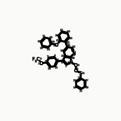 FC(F)(F)Oc1ccc(-c2cn(OOSc3ccccc3)c3ncc(-c4ccccc4Oc4ccccc4)cc23)cc1